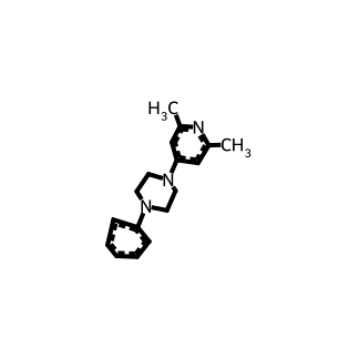 Cc1cc(N2CCN(c3ccccc3)CC2)cc(C)n1